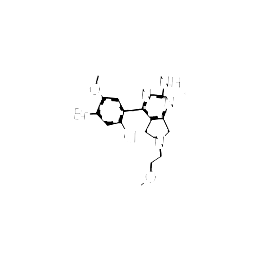 COCCN1Cc2nc(N)nc(-c3cc(OC)c(Br)cc3Cl)c2C1